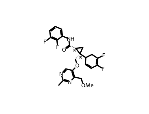 COCc1nc(C)ncc1OC[C@@]1(C2C=CC(F)=C(F)C2)C[C@H]1C(=O)Nc1cccc(F)c1F